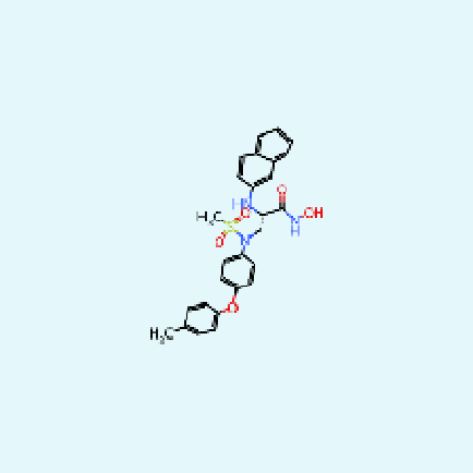 Cc1ccc(Oc2ccc(N(C[C@H](Nc3ccc4ccccc4c3)C(=O)NO)S(C)(=O)=O)cc2)cc1